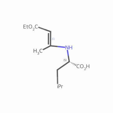 CCOC(=O)/C=C(\C)N[C@@H](CC(C)C)C(=O)O